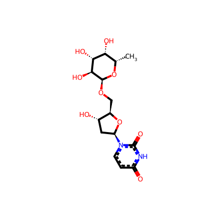 C[C@@H]1O[C@@H](OC[C@H]2O[C@@H](n3ccc(=O)[nH]c3=O)C[C@@H]2O)[C@@H](O)[C@H](O)[C@@H]1O